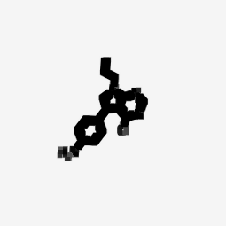 C=CCn1cc(-c2ccc(N)cc2)c2c(Cl)ncnc21